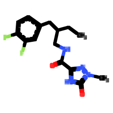 CCC(CNC(=O)c1nn(C)c(=O)[nH]1)Cc1ccc(F)c(F)c1